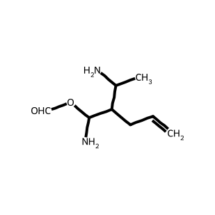 C=CCC(C(C)N)C(N)OC=O